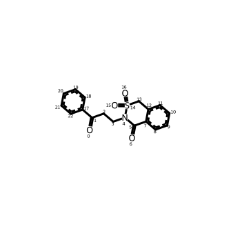 O=C(CCN1C(=O)c2ccccc2CS1(=O)=O)c1ccccc1